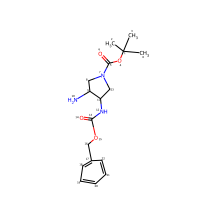 CC(C)(C)OC(=O)N1CC(N)C(NC(=O)OCc2ccccc2)C1